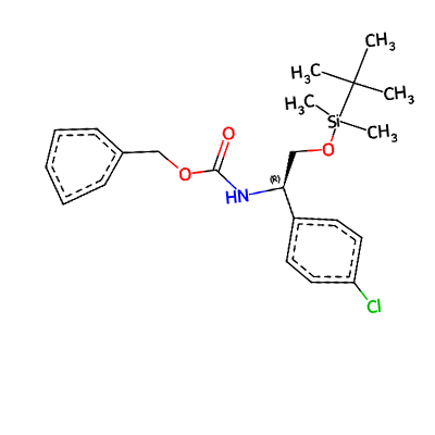 CC(C)(C)[Si](C)(C)OC[C@H](NC(=O)OCc1ccccc1)c1ccc(Cl)cc1